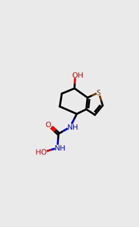 O=C(NO)NC1CCC(O)c2sccc21